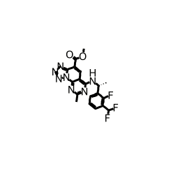 COC(=O)c1cc2c(N[C@H](C)c3cccc(C(F)F)c3F)nc(C)nc2n2nnnc12